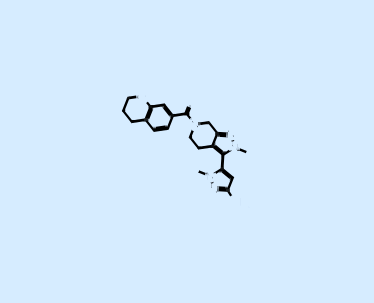 Cn1nc(C(F)(F)F)cc1-c1c2c(nn1C)CN(C(=O)c1ccc3c(c1)OCCC3)CC2